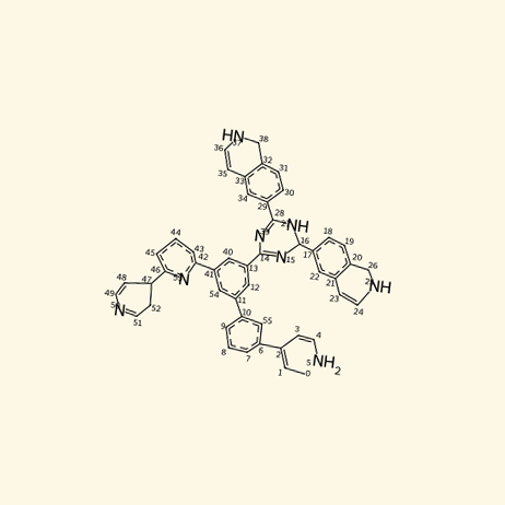 C/C=C(\C=C/N)c1cccc(-c2cc(C3=NC(c4ccc5c(c4)C=CNC5)NC(c4ccc5c(c4)C=CNC5)=N3)cc(-c3cccc(C4C=CN=CC4)n3)c2)c1